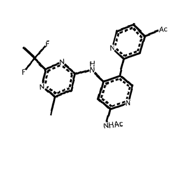 CC(=O)Nc1cc(Nc2cc(C)nc(C(C)(F)F)n2)c(-c2cc(C(C)=O)ccn2)cn1